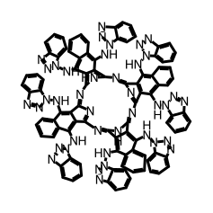 c1ccc2c(c1)nnn2Nc1c2c(c(Nn3nnc4ccccc43)c3ccccc13)-c1nc-2nc2[nH]c(nc3nc(nc4[nH]c(n1)c1c(Nn5nnc6ccccc65)c5ccccc5c(Nn5nnc6ccccc65)c41)-c1c-3c(Nn3nnc4ccccc43)c3ccccc3c1Nn1nnc3ccccc31)c1c(Nn3nnc4ccccc43)c3ccccc3c(Nn3nnc4ccccc43)c21